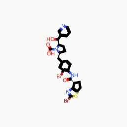 O=C(Nc1ccc(C[C@@H]2CC[C@H](C(O)c3cccnc3)N2C(=O)O)cc1Br)[C@@H]1CCc2sc(Br)nc21